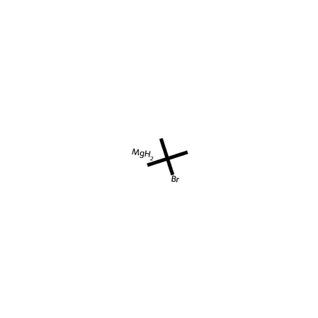 CC(C)(C)Br.[MgH2]